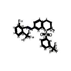 C[C@@H]1CCc2ccc(/C=C/c3c(F)cccc3C(F)(F)F)cc2N1S(=O)(=O)c1cccc(C(F)(F)F)c1